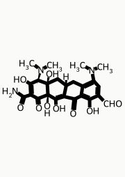 CN(C)c1cc(C=O)c(O)c2c1C[C@H]1C[C@@]3(O)[C@H](N(C)C)C(O)=C(C(N)=O)C(=O)[C@@]3(O)C(O)=C1C2=O